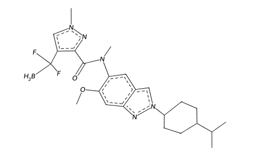 BC(F)(F)c1cn(C)nc1C(=O)N(C)c1cc2cn(C3CCC(C(C)C)CC3)nc2cc1OC